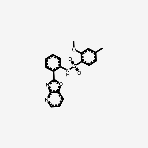 COc1cc(C)ccc1S(=O)(=O)Nc1ccccc1-c1nc2ncccc2o1